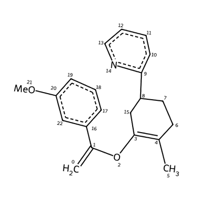 C=C(OC1=C(C)CCC(c2ccccn2)C1)c1cccc(OC)c1